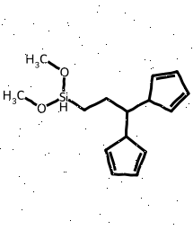 CO[SiH](CCC(C1C=CC=C1)C1C=CC=C1)OC